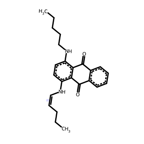 CCC/C=C\Nc1ccc(NCCCCC)c2c1C(=O)c1ccccc1C2=O